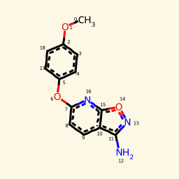 COc1ccc(Oc2ccc3c(N)noc3n2)cc1